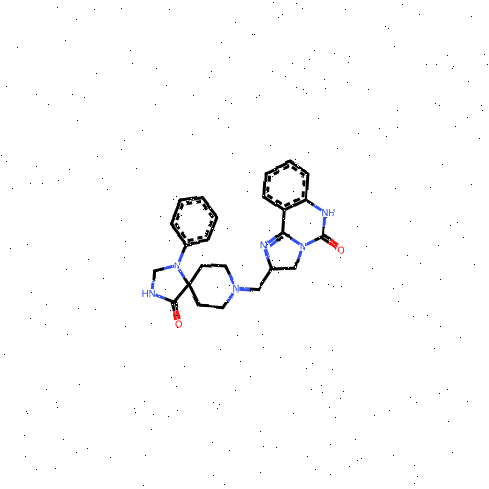 O=C1Nc2ccccc2C2=NC(CN3CCC4(CC3)C(=O)NCN4c3ccccc3)CN12